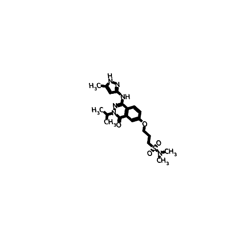 Cc1cc(Nc2nn(C(C)C)c(=O)c3cc(OCCCS(=O)(=O)N(C)C)ccc23)n[nH]1